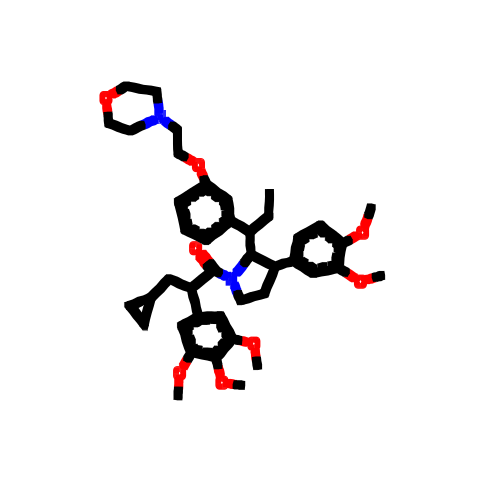 CCC(c1cccc(OCCN2CCOCC2)c1)C1C(c2ccc(OC)c(OC)c2)CCN1C(=O)C(CC1CC1)c1cc(OC)c(OC)c(OC)c1